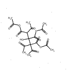 CC(=O)OC(=O)C(C(C)=O)C(O)(C(=O)OC(C)=O)C(C(C)=O)(C(C)=O)C(=O)OC(C)=O